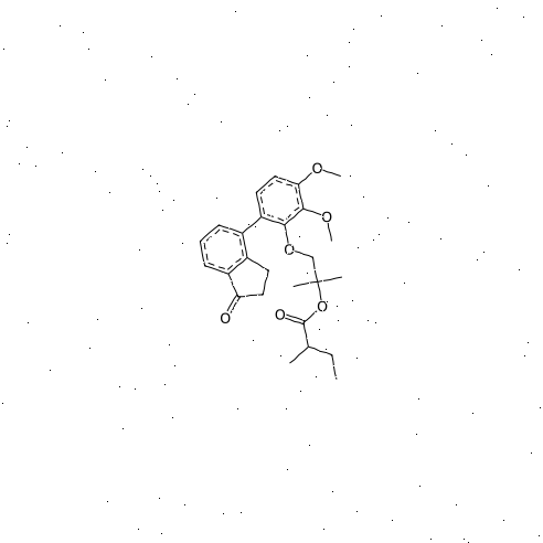 CCC(C)C(=O)OC(C)(C)COc1c(-c2cccc3c2CCC3=O)ccc(OC)c1OC